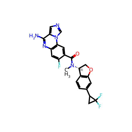 CN(C(=O)c1cc2c(cc1F)nc(N)c1cncn12)[C@@H]1COc2cc(C3CC3(F)F)ccc21